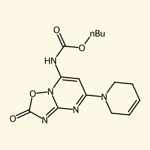 CCCCOC(=O)Nc1cc(N2CC=CCC2)nc2nc(=O)on12